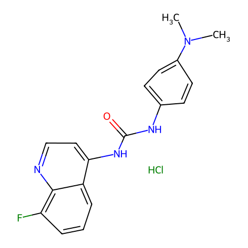 CN(C)c1ccc(NC(=O)Nc2ccnc3c(F)cccc23)cc1.Cl